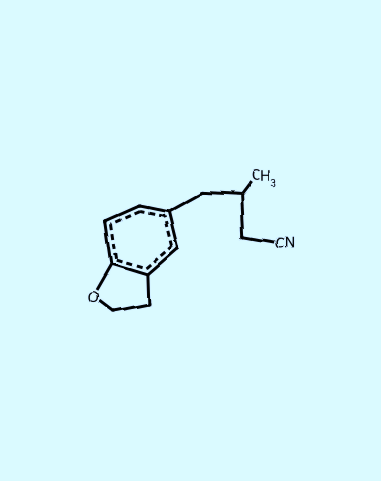 CC(CC#N)Cc1ccc2c(c1)CCO2